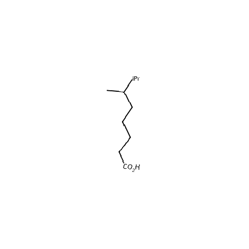 CC(C)C(C)CCCCC(=O)O